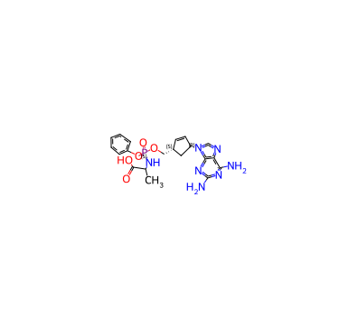 CC(N[P@](=O)(OC[C@@H]1C=C[C@H](n2cnc3c(N)nc(N)nc32)C1)Oc1ccccc1)C(=O)O